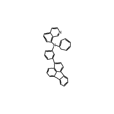 C1=CC=C(N(c2cccc(-c3ccc4c5c(cccc35)-c3ccccc3-4)c2)c2cccc3ccncc23)CC=C1